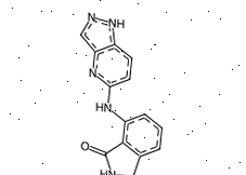 O=C1NCc2cccc(Nc3ccc4[nH]ncc4n3)c21